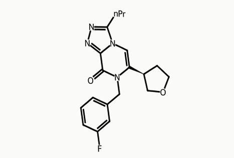 CCCc1nnc2c(=O)n(Cc3cccc(F)c3)c([C@H]3CCOC3)cn12